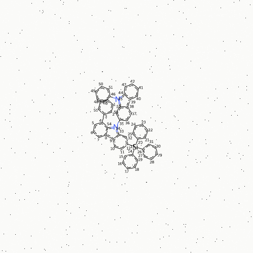 c1ccc(-c2cccc3c4ccc([Si](c5ccccc5)(c5ccccc5)c5ccccc5)cc4n(-c4ccc5c6ccccc6n(-c6ccccc6)c5c4)c23)cc1